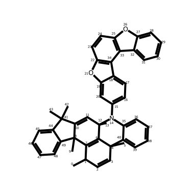 CC1C=CC2(C)C3=C1C1(C)C(=CC3(C)N(c3ccc4c(c3)oc3ccc5oc6ccccc6c5c34)c3ccccc32)C(C)(C)c2ccccc21